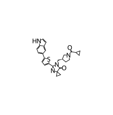 O=C(C1CC1)N1CC[C@@H](CN2C(=O)C3(CC3)N=C2c2ccc(-c3ccc4[nH]ccc4c3)s2)C1